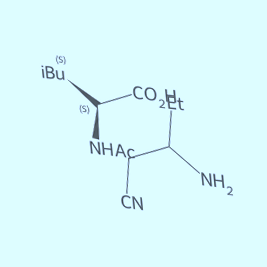 CCC(N)CC#N.CC[C@H](C)[C@H](NC(C)=O)C(=O)O